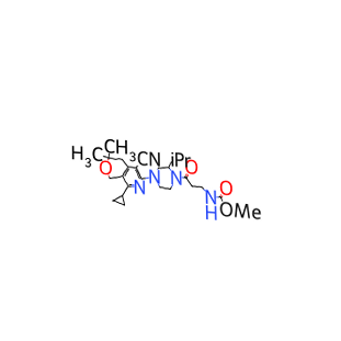 COC(=O)NCCC(=O)N1CCN(c2nc(C3CC3)c3c(c2C#N)CC(C)(C)OC3)CC1C(C)C